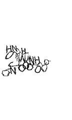 COc1cccc2oc(C(=O)N[C@@H](CC(C)C)C(=O)N[C@@H](C[C@@H]3CCNC3=O)C(=O)c3nc4ccccc4s3)cc12